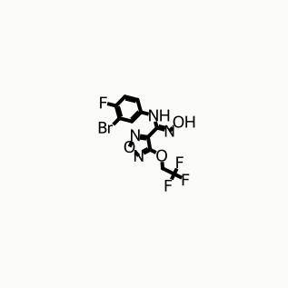 O/N=C(\Nc1ccc(F)c(Br)c1)c1nonc1OCC(F)(F)F